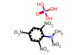 CN(c1c([N+](=O)[O-])cc([N+](=O)[O-])cc1[N+](=O)[O-])[N+](=O)[O-].O=P(O)(O)O